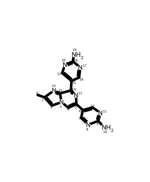 Cc1cn2cc(-c3cnc(N)nc3)nc(-c3cnc(N)nc3)c2n1